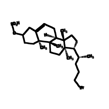 CC(C)CCC[C@@H](C)[C@H]1CC[C@@]2(C)[C@@H]3CC=C4CC(OS(=O)(=O)O)CC[C@]4(C)[C@@]3(C)CC[C@]12C